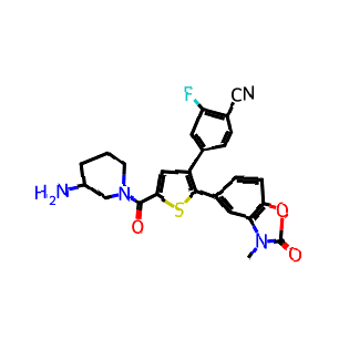 Cn1c(=O)oc2ccc(-c3sc(C(=O)N4CCCC(N)C4)cc3-c3ccc(C#N)c(F)c3)cc21